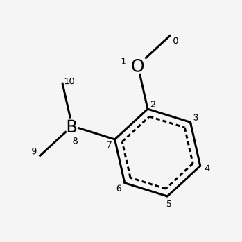 COc1ccccc1B(C)C